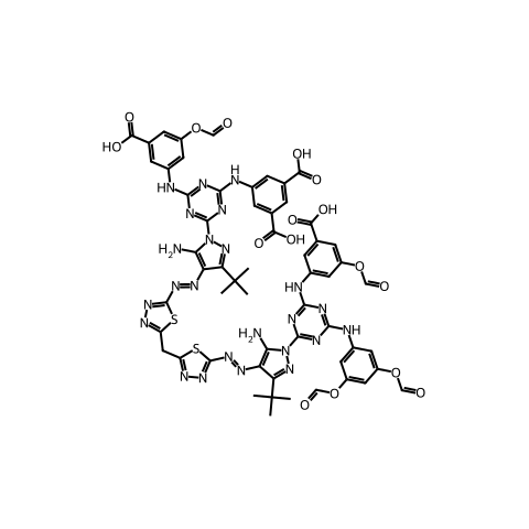 CC(C)(C)c1nn(-c2nc(Nc3cc(OC=O)cc(OC=O)c3)nc(Nc3cc(OC=O)cc(C(=O)O)c3)n2)c(N)c1N=Nc1nnc(Cc2nnc(N=Nc3c(C(C)(C)C)nn(-c4nc(Nc5cc(OC=O)cc(C(=O)O)c5)nc(Nc5cc(C(=O)O)cc(C(=O)O)c5)n4)c3N)s2)s1